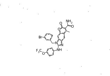 Cc1c(C(N)=O)c(=O)oc2cc3c(cc12)nc(Nc1ccc(OC(F)(F)F)cc1)n3Cc1cccc(Br)c1